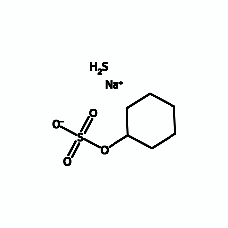 O=S(=O)([O-])OC1CCCCC1.S.[Na+]